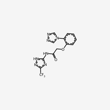 O=C(COc1ccccc1-n1cnnc1)Nc1nc(C(F)(F)F)n[nH]1